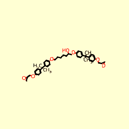 CC(C)(c1ccc(OCCCCCC(O)COc2ccc(C(C)(C)c3ccc(OCC4CO4)cc3)cc2)cc1)c1ccc(OCC2CO2)cc1